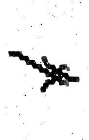 Cc1c(CN=C=O)c(C)c(CN=C=O)c(OCCOCCOCCN=[N+]=[N-])c1CN=C=O